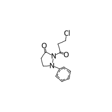 O=C(CCCl)N1C(=O)CCN1c1ccccc1